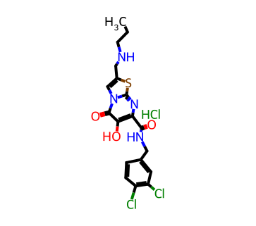 CCCNCc1cn2c(=O)c(O)c(C(=O)NCc3ccc(Cl)c(Cl)c3)nc2s1.Cl